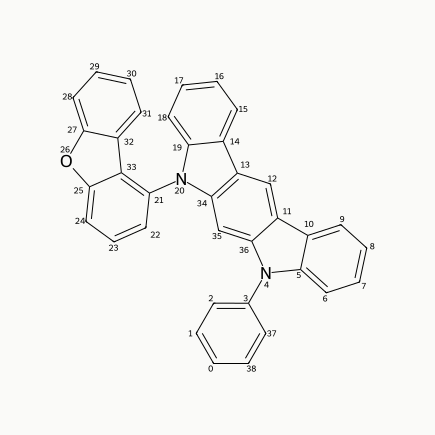 c1ccc(-n2c3ccccc3c3cc4c5ccccc5n(-c5cccc6oc7ccccc7c56)c4cc32)cc1